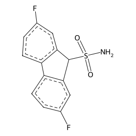 NS(=O)(=O)C1c2cc(F)ccc2-c2ccc(F)cc21